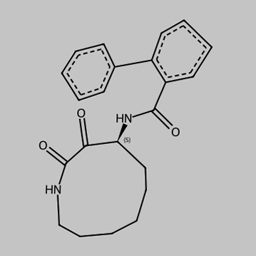 O=C1NCCCCCC[C@H](NC(=O)c2ccccc2-c2ccccc2)C1=O